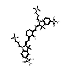 CC1(C)/C(=C\C=C2/CCC/C(=C\C=C3\N(CCC[N+](C)(C)C)c4ccc(S(=O)(=O)O)cc4C3(C)C)C2=O)N(CCC[N+](C)(C)C)c2ccc(S(=O)(=O)O)cc21